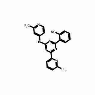 N#Cc1ccccc1-c1nc(Nc2ccnc(C(F)(F)F)c2)nc(-c2cccc(C(F)(F)F)n2)n1